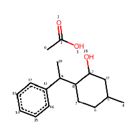 CC(=O)O.CC1CCC(C(C)c2ccccc2)C(O)C1